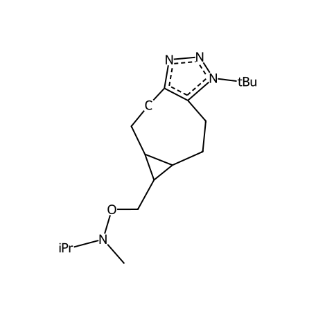 CC(C)N(C)OCC1C2CCc3nnn(C(C)(C)C)c3CCC21